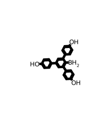 Bc1c(-c2ccc(O)cc2)cc(-c2ccc(O)cc2)cc1-c1ccc(O)cc1